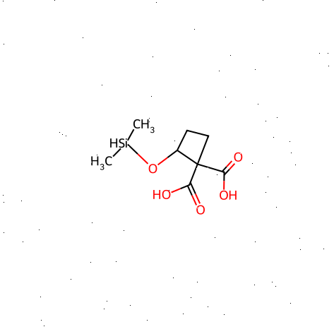 C[SiH](C)OC1CCC1(C(=O)O)C(=O)O